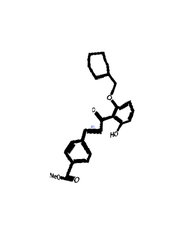 COC(=O)c1ccc(/C=C/C(=O)c2c(O)cccc2OCC2CCCCC2)cc1